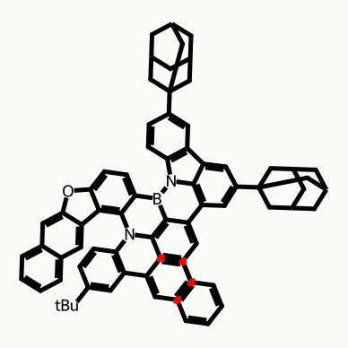 CC(C)(C)c1ccc(N2c3cc(-c4ccccc4)cc4c3B(c3ccc5oc6cc7ccccc7cc6c5c32)n2c3ccc(C56CC7CC(CC(C7)C5)C6)cc3c3cc(C56CC7CC(CC(C7)C5)C6)cc-4c32)c(-c2ccccc2)c1